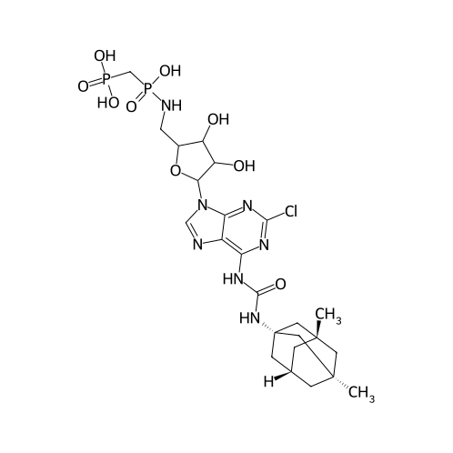 C[C@]12C[C@@H]3C[C@](C)(C1)C[C@@](NC(=O)Nc1nc(Cl)nc4c1ncn4C1OC(CNP(=O)(O)CP(=O)(O)O)C(O)C1O)(C3)C2